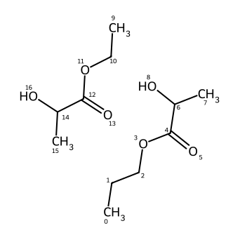 CCCOC(=O)C(C)O.CCOC(=O)C(C)O